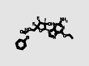 CCOc1nc(N)nc2c1ncn2[C@@H]1O[C@](F)(CO[PH](=O)Oc2ccccc2)[C@@H](F)[C@@]1(C)O